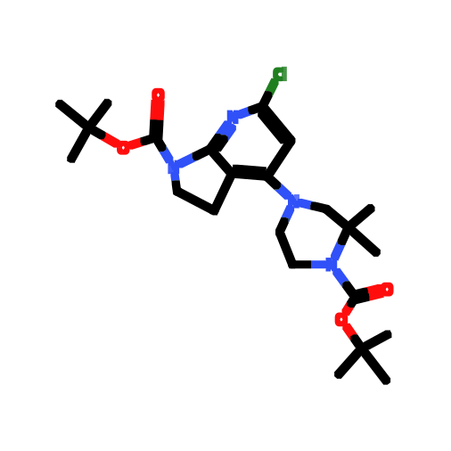 CC(C)(C)OC(=O)N1CCc2c(N3CCN(C(=O)OC(C)(C)C)C(C)(C)C3)cc(Cl)nc21